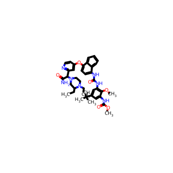 CCC1CN(C(C(N)=O)c2cc(Oc3ccc(NC(=O)Nc4cc(C(C)(C)C)cc(NC(=O)OC)c4OC)c4ccccc34)ccn2)CCN1CC